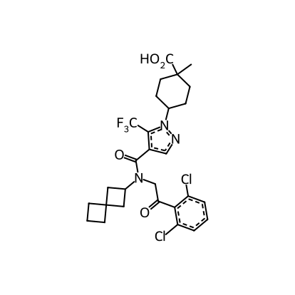 CC1(C(=O)O)CCC(n2ncc(C(=O)N(CC(=O)c3c(Cl)cccc3Cl)C3CC4(CCC4)C3)c2C(F)(F)F)CC1